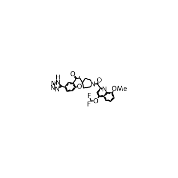 COc1cccc2c(OC(F)F)cc(C(=O)N3CCC4([CH]C(=O)c5cc(-c6nnn[nH]6)ccc5O4)CC3)nc12